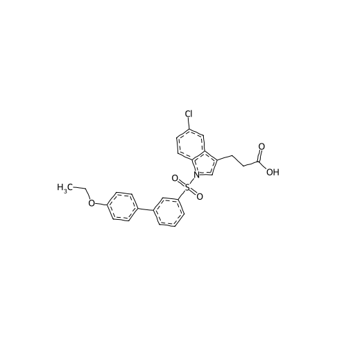 CCOc1ccc(-c2cccc(S(=O)(=O)n3cc(CCC(=O)O)c4cc(Cl)ccc43)c2)cc1